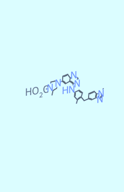 Cc1cc(Nc2ncnc3ccc(N4CCN(C(=O)O)C(C)C4)cc23)ccc1Cc1ccc2c(c1)ncn2C